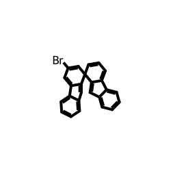 BrC1=CC2(C=CC=C3C2=Cc2ccccc23)C2=Cc3ccccc3C2=C1